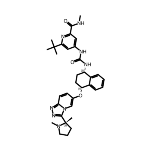 CNC(=O)c1cc(NC(=O)N[C@H]2CC[C@@H](Oc3ccc4nnc([C@]5(C)CCCN5C)n4c3)c3ccccc32)cc(C(C)(C)C)n1